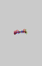 O=C(c1ccc(F)cc1F)C1CCN(CCC2CCC(NC(=O)[C@H]3COc4ccccc4C3)CC2)CC1